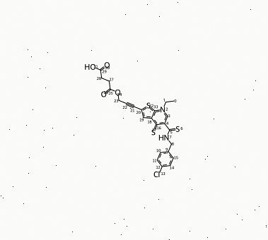 CCn1cc(C(=S)NCc2ccc(Cl)cc2)c(=S)c2cc(C#CCOC(=O)CCC(=O)O)sc21